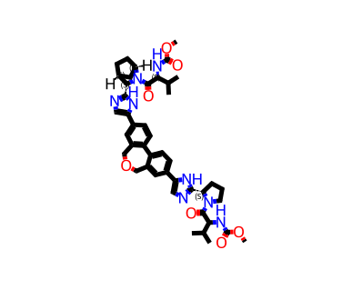 COC(=O)NC(C(=O)N1CCC[C@H]1c1ncc(-c2ccc3c(c2)COCc2cc(-c4cnc([C@@H]5[C@H]6CC[C@H](C6)N5C(=O)[C@@H](NC(=O)OC)C(C)C)[nH]4)ccc2-3)[nH]1)C(C)C